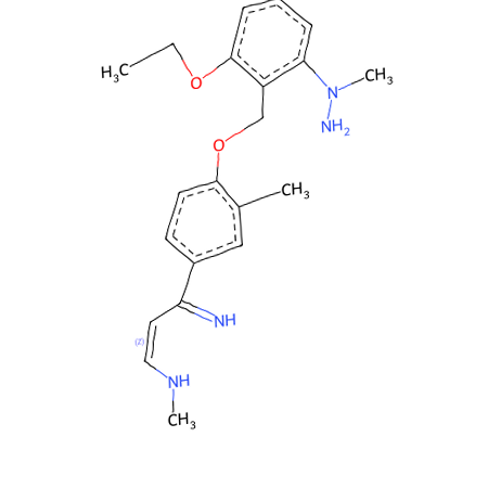 CCOc1cccc(N(C)N)c1COc1ccc(C(=N)/C=C\NC)cc1C